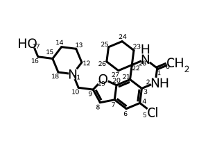 C=C1Nc2c(Cl)cc3cc(CN4CCCC(CO)C4)oc3c2C2(CCCCC2)N1